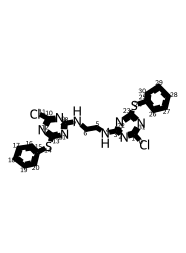 Clc1nc(NCCNc2nc(Cl)nc(Sc3ccccc3)n2)nc(Sc2ccccc2)n1